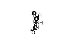 CC(=O)c1cnn(-c2nc3cc(N4CCCC4)c(Cl)cc3[nH]2)c1